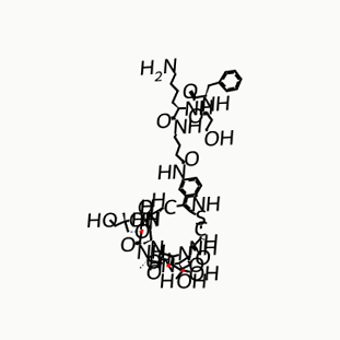 CC(O)[C@H]1NC(=O)[C@H](C)NC(=O)[C@H](C[C@@](C)(O)CO)NC(=O)[C@@H]2Cc3c([nH]c4ccc(NC(=O)CCCNC(=O)[C@@H](CCCCN)NC(=O)[C@@H](Cc5ccccc5)NC(=O)CCO)cc34)SC[C@@H](NC1=O)C(=O)N1C[C@H](O)C[C@H]1C(=O)N[C@@H](C)C(=O)N2